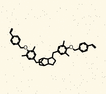 C=Cc1ccc(COc2c(C)cc(CC3CCC4C5CCC(C5Cc5cc(C)c(OCc6ccc(C=C)cc6)c(C)c5)C34)cc2C)cc1